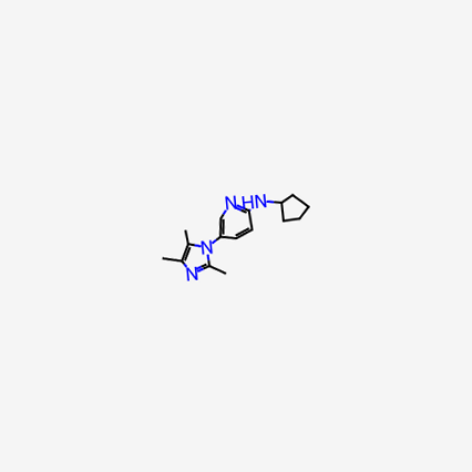 Cc1nc(C)n(-c2ccc(NC3CCCC3)nc2)c1C